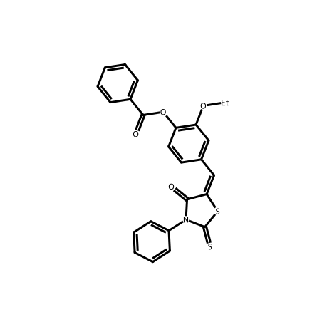 CCOc1cc(C=C2SC(=S)N(c3ccccc3)C2=O)ccc1OC(=O)c1ccccc1